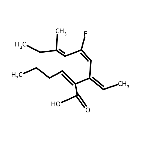 C/C=C(\C=C(F)/C=C(\C)CC)C(=C/CCC)/C(=O)O